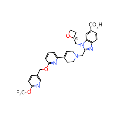 O=C(O)c1ccc2nc(CN3CC=C(c4cccc(OCc5ccc(OC(F)(F)F)nc5)n4)CC3)n(C[C@@H]3CCO3)c2c1